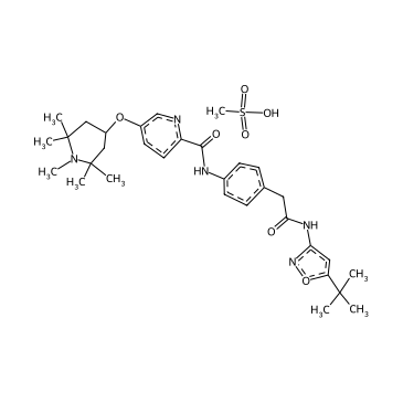 CN1C(C)(C)CC(Oc2ccc(C(=O)Nc3ccc(CC(=O)Nc4cc(C(C)(C)C)on4)cc3)nc2)CC1(C)C.CS(=O)(=O)O